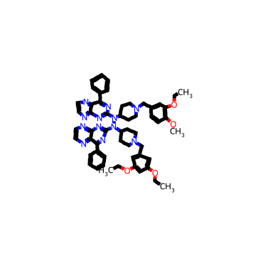 CCOc1cc(CN2CCC(N(c3nc(-c4ccccc4)c4nccnc4n3)N(c3nc(-c4ccccc4)c4nccnc4n3)C3CCN(Cc4ccc(OC)c(OCC)c4)CC3)CC2)cc(OCC)c1